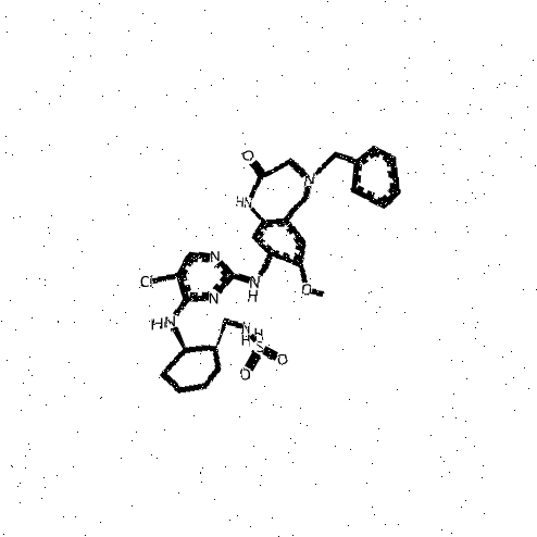 COc1cc2c(cc1Nc1ncc(Cl)c(N[C@@H]3CCCC[C@@H]3CN[SH](=O)=O)n1)NC(=O)CN(Cc1ccccc1)C2